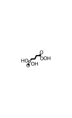 O=C(CCCP(=O)(O)O)OO